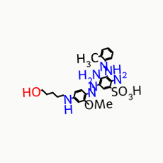 COc1cc(NCCCCCO)ccc1/N=N/c1cc(S(=O)(=O)O)c(N)c(/N=N/c2ccccc2C)c1N